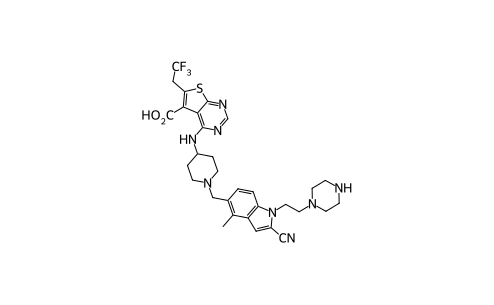 Cc1c(CN2CCC(Nc3ncnc4sc(CC(F)(F)F)c(C(=O)O)c34)CC2)ccc2c1cc(C#N)n2CCN1CCNCC1